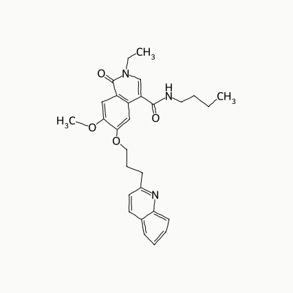 CCCCNC(=O)c1cn(CC)c(=O)c2cc(OC)c(OCCCc3ccc4ccccc4n3)cc12